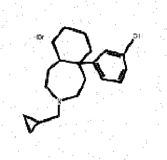 Br.Oc1cccc(C23CCCCC2CCN(CC2CC2)CC3)c1